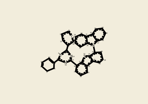 C1=CCCC(c2nc(-c3ccccc3)nc(-c3cccc4c3sc3c(-n5c6ccccc6c6ccccc65)cccc34)n2)=C1